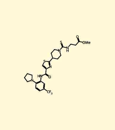 COC(=O)CCNC(=S)N1CCC(c2nc(C(=O)Nc3cc(C(F)(F)F)ccc3N3CCCC3)cs2)CC1